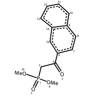 COP(=O)(CC(=O)c1ccc2ccccc2c1)OC